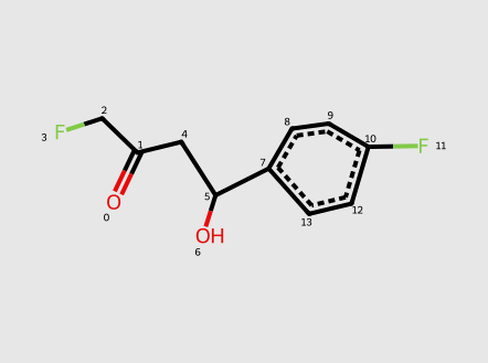 O=C(CF)CC(O)c1ccc(F)cc1